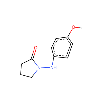 COc1ccc(NN2CCCC2=O)cc1